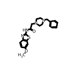 COc1ccc2nc(NC(=O)CN3CCN(Cc4ccccc4)CC3)sc2c1